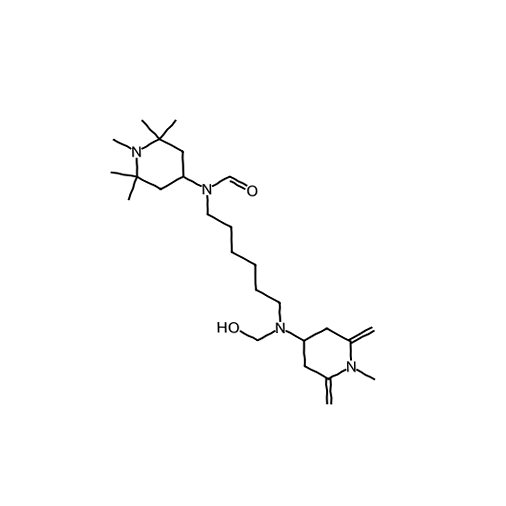 C=C1CC(N(CO)CCCCCCN(C=O)C2CC(C)(C)N(C)C(C)(C)C2)CC(=C)N1C